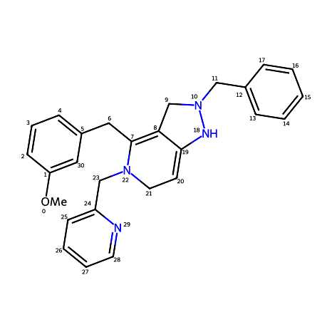 COc1cccc(CC2=C3CN(Cc4ccccc4)NC3=CCN2Cc2ccccn2)c1